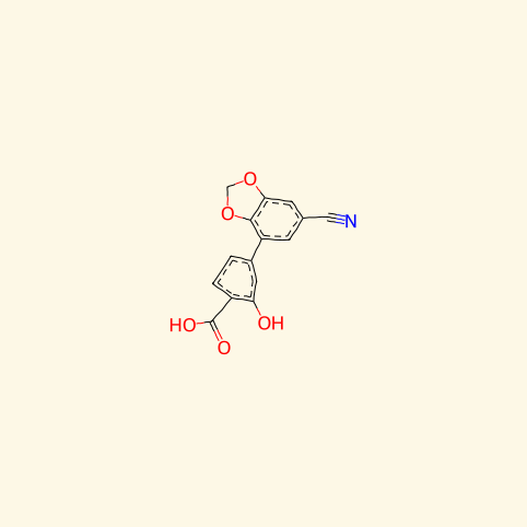 N#Cc1cc2c(c(-c3ccc(C(=O)O)c(O)c3)c1)OCO2